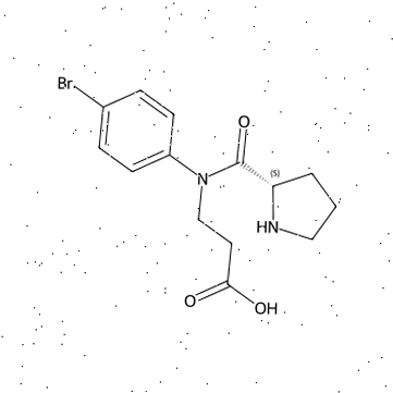 O=C(O)CCN(C(=O)[C@@H]1CCCN1)c1ccc(Br)cc1